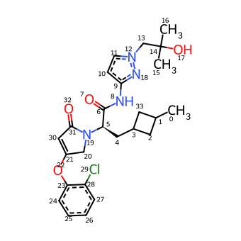 CC1CC(C[C@H](C(=O)Nc2ccn(CC(C)(C)O)n2)N2CC(Oc3ccccc3Cl)=CC2=O)C1